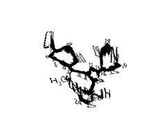 CN(C)[C@@H](c1ccc(Cl)cc1)c1cc(-c2ccncc2)sc1-c1ncc[nH]1